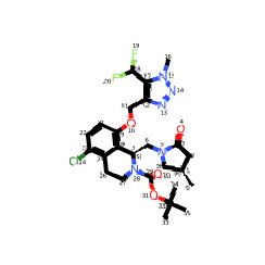 C[C@@H]1CC(=O)N(C[C@@H]2c3c(OCc4nnn(C)c4C(F)F)ccc(Cl)c3CCN2C(=O)OC(C)(C)C)C1